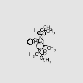 CC[C@H]1C(=O)N([C@@H](C)C(=O)OC)CC[C@@H]2[C@H](Cc3ccccc3)N(C(=O)OC(C)(C)C)CN21